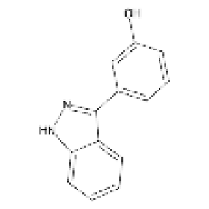 Oc1cccc(-c2n[nH]c3ccccc23)c1